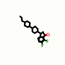 CCCC1CCC(C2CCC(C3CC(=O)c4c3ccc(F)c4F)CC2)CC1